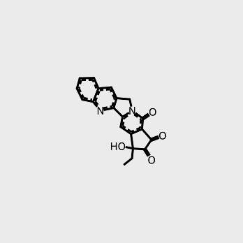 CCC1(O)C(=O)C(=O)c2c1cc1n(c2=O)Cc2cc3ccccc3nc2-1